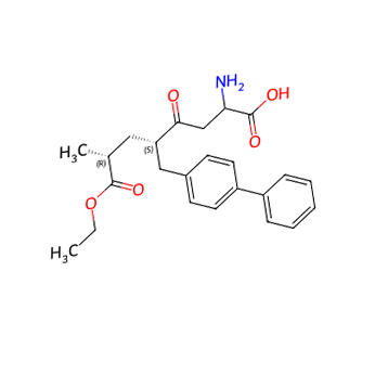 CCOC(=O)[C@H](C)C[C@@H](Cc1ccc(-c2ccccc2)cc1)C(=O)CC(N)C(=O)O